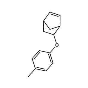 Cc1ccc(OC2CC3C=CC2C3)cc1